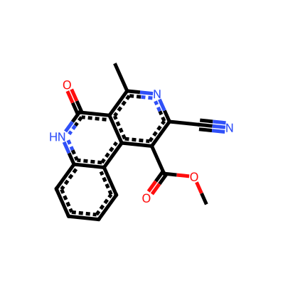 COC(=O)c1c(C#N)nc(C)c2c(=O)[nH]c3ccccc3c12